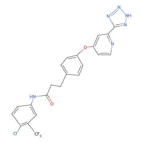 O=C(CCc1ccc(Oc2ccnc(-c3nn[nH]n3)c2)cc1)Nc1ccc(Cl)c(C(F)(F)F)c1